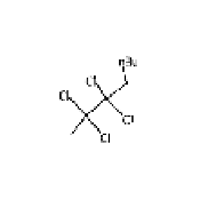 CCCCCC(Cl)(Cl)C(C)(Cl)Cl